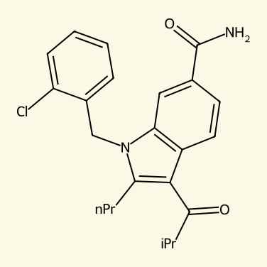 CCCc1c(C(=O)C(C)C)c2ccc(C(N)=O)cc2n1Cc1ccccc1Cl